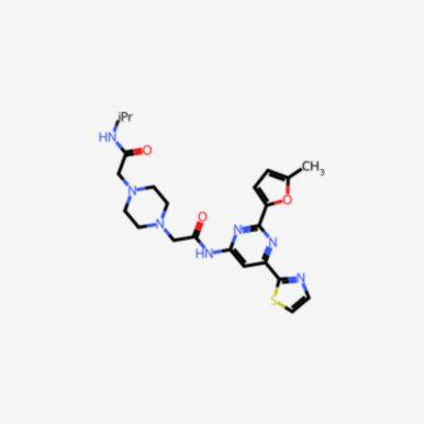 Cc1ccc(-c2nc(NC(=O)CN3CCN(CC(=O)NC(C)C)CC3)cc(-c3nccs3)n2)o1